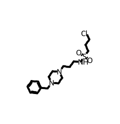 O=S(=O)(CCCCl)NCCCN1CCN(Cc2ccccc2)CC1